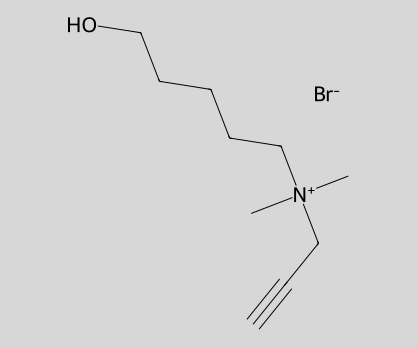 C#CC[N+](C)(C)CCCCCO.[Br-]